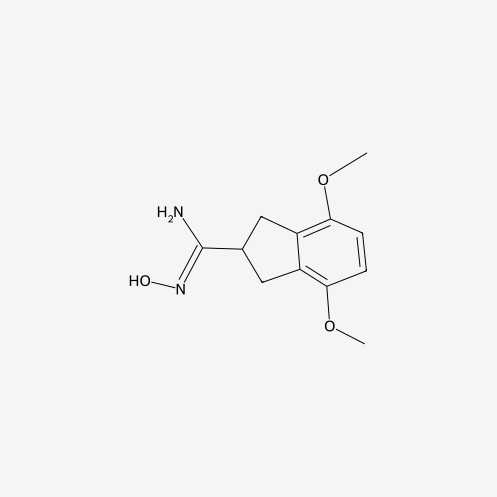 COc1ccc(OC)c2c1CC(/C(N)=N/O)C2